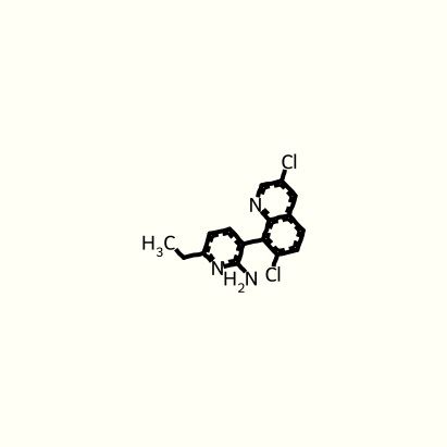 CCc1ccc(-c2c(Cl)ccc3cc(Cl)cnc23)c(N)n1